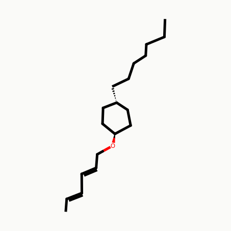 C/C=C/C=C/CO[C@H]1CC[C@H](CCCCCCC)CC1